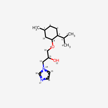 CC1CCC(C(C)C)C(OCC(O)Cn2ccnc2)C1